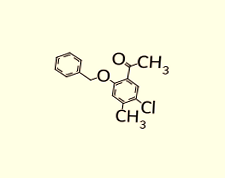 CC(=O)c1cc(Cl)c(C)cc1OCc1ccccc1